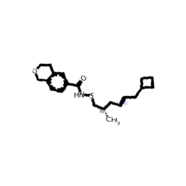 C[C@@H](C/C=C/CC1CCC1)CSNC(=O)c1ccc2c(c1)CCOC2